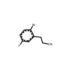 N#CCCc1cc(F)ccc1Br